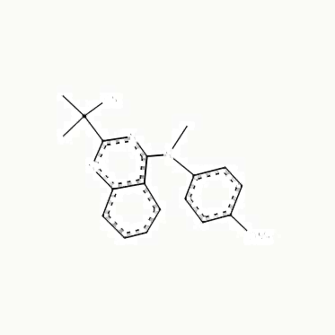 COc1ccc(N(C)c2nc(C(C)(C)C#N)nc3ccccc23)cc1